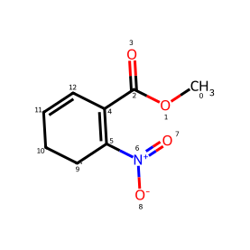 COC(=O)C1=C([N+](=O)[O-])[CH]CC=C1